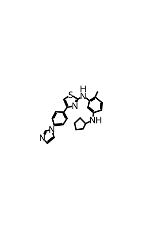 Cc1ccc(NC2CCCC2)cc1Nc1nc(-c2ccc(-n3ccnc3)cc2)cs1